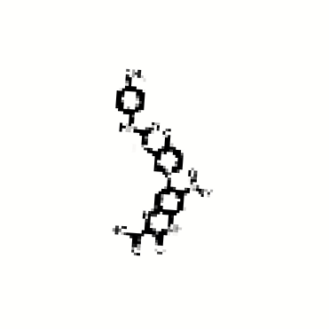 Cc1ccc(NC(=O)Nc2cn(-c3cc4nc(C(=O)O)c(=O)[nH]c4cc3[N+](=O)[O-])ccc2=O)cc1